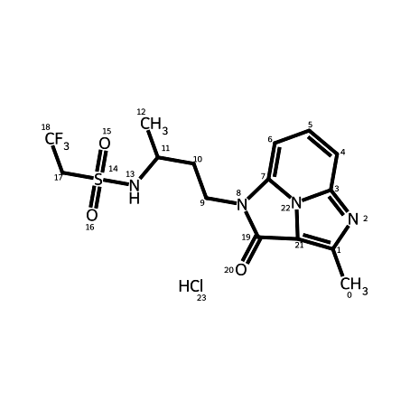 Cc1nc2cccc3n(CCC(C)NS(=O)(=O)CC(F)(F)F)c(=O)c1n23.Cl